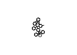 Cc1ccc2c(c1)-n1c3ccccc3c3cccc(c31)C2(c1ccccc1)c1ccc(P(=O)(c2ccccc2)c2ccccc2)cc1